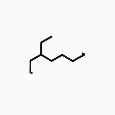 [CH2]CC(CC)CCCF